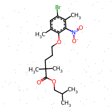 Cc1cc(Br)c(C)c([N+](=O)[O-])c1OCCCC(C)(C)C(=O)OCC(C)C